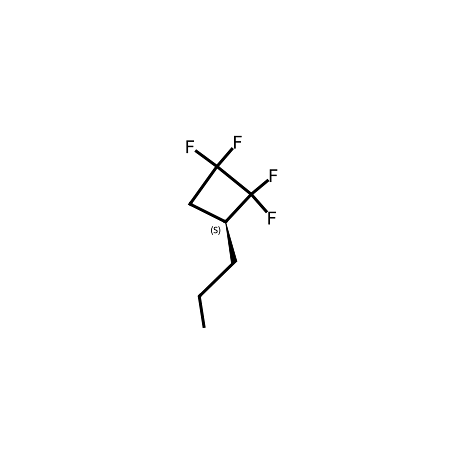 CCC[C@H]1CC(F)(F)C1(F)F